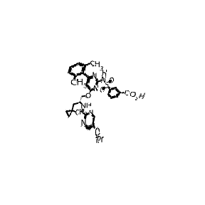 Cc1cccc(C)c1-c1cc(OC[C@@H](CC2(C)CC2)NCc2ncc(OC(C)C)cn2)nc(NS(=O)(=O)c2cccc(C(=O)O)c2)n1